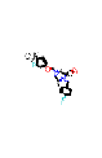 C[C@@H]1C(=C=O)N(Cc2ccc(F)cc2)[C@@H](C)CN1COc1ccc([N+](=O)[O-])c(F)c1